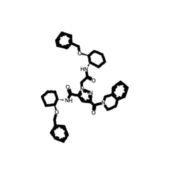 O=C(Cn1nc(C(=O)N2CCc3ccccc3C2)cc1C(=O)N[C@H]1CCCC[C@@H]1OCc1ccccc1)N[C@H]1CCCC[C@@H]1OCc1ccccc1